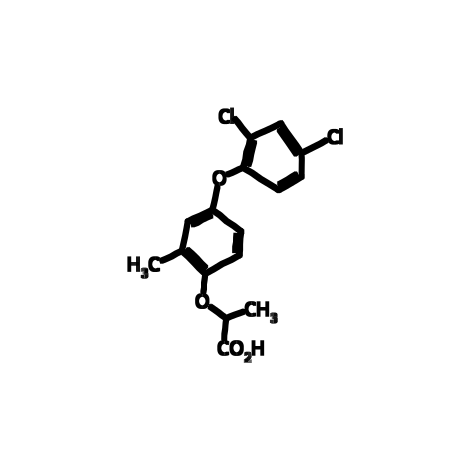 Cc1cc(Oc2ccc(Cl)cc2Cl)ccc1OC(C)C(=O)O